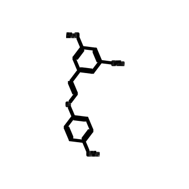 COc1ccc(O/C=C/c2cc(OC)cc(OC)c2)cc1